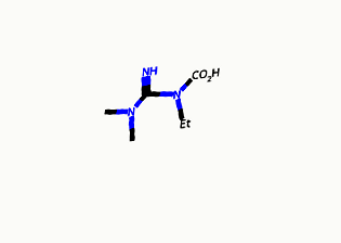 CCN(C(=N)N(C)C)C(=O)O